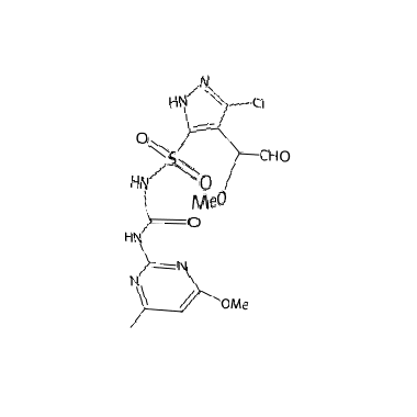 COc1cc(C)nc(NC(=O)NS(=O)(=O)c2[nH]nc(Cl)c2C(C=O)OC)n1